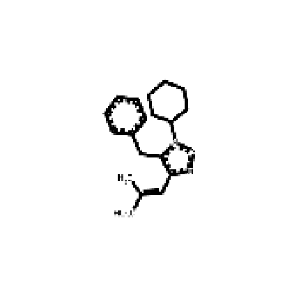 CC(=Cc1nnn(C2CCCCC2)c1Cc1ccccc1)C(=O)O